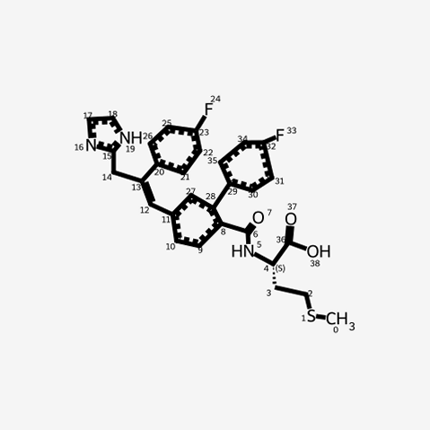 CSCC[C@H](NC(=O)c1ccc(C=C(Cc2ncc[nH]2)c2ccc(F)cc2)cc1-c1ccc(F)cc1)C(=O)O